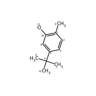 Cc1ccc(C(C)(C)C)cc1[O]